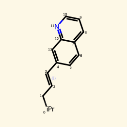 CC(C)C/C=C/c1ccc2cccnc2c1